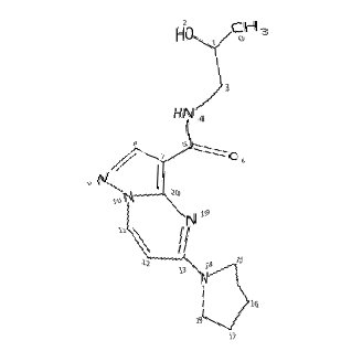 CC(O)CNC(=O)c1cnn2ccc(N3CCCC3)nc12